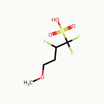 COCCC(F)C(F)(F)S(=O)(=O)O